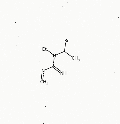 C=NC(=N)N(CC)C(C)Br